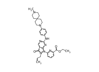 C=CCn1c(=O)c2cnc(Nc3ccc(N4CCC5(CCN(C)CC5)CC4)cc3)nc2n1-c1cccc(C(=O)OCC)n1